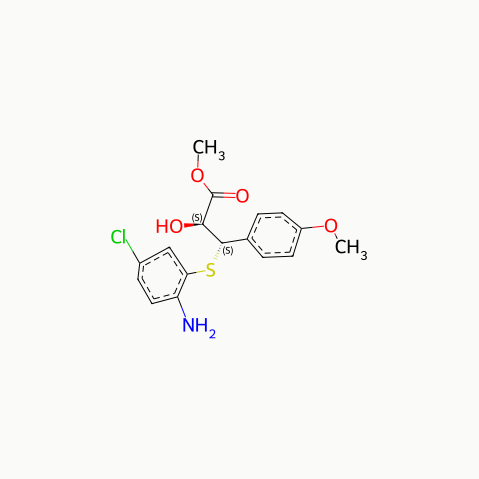 COC(=O)[C@H](O)[C@@H](Sc1cc(Cl)ccc1N)c1ccc(OC)cc1